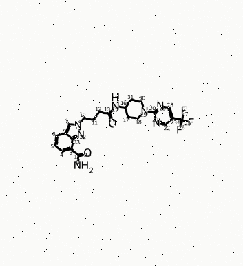 NC(=O)c1cccc2cn(CCCC(=O)NC3CCN(c4ncc(C(F)(F)F)cn4)CC3)nc12